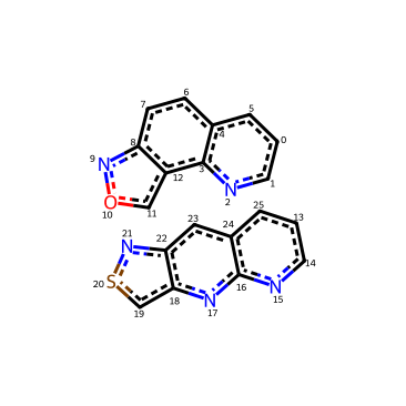 c1cnc2c(c1)ccc1nocc12.c1cnc2nc3csnc3cc2c1